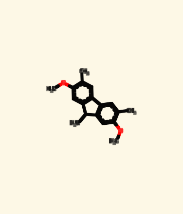 COc1cc2c(cc1C)-c1cc(C)c(OC)cc1C2[SiH3]